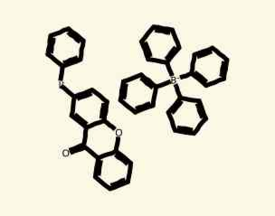 O=c1c2ccccc2oc2ccc([I+]c3ccccc3)cc12.c1ccc([B-](c2ccccc2)(c2ccccc2)c2ccccc2)cc1